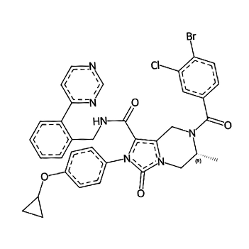 C[C@@H]1Cn2c(c(C(=O)NCc3ccccc3-c3ccncn3)n(-c3ccc(OC4CC4)cc3)c2=O)CN1C(=O)c1ccc(Br)c(Cl)c1